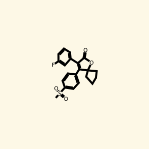 CS(=O)(=O)c1ccc(C2=C(c3cccc(F)c3)C(=O)OC23CCCC3)cc1